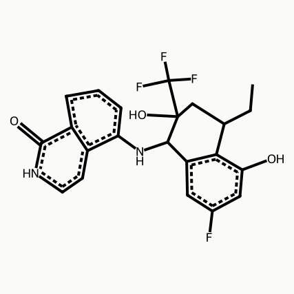 CCC1CC(O)(C(F)(F)F)C(Nc2cccc3c(=O)[nH]ccc23)c2cc(F)cc(O)c21